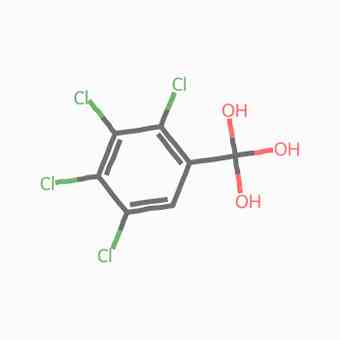 OC(O)(O)c1cc(Cl)c(Cl)c(Cl)c1Cl